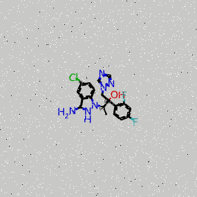 C[C@@H](N1NC(N)c2cc(Cl)ccc21)[C@](O)(Cn1cncn1)c1ccc(F)cc1F